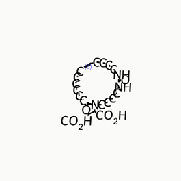 O=C(O)CC(C(=O)O)N1CCCCNC(=O)NCCCC/C=C\CCCCCCC1=O